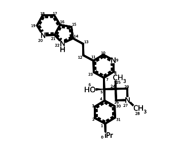 CC(C)c1ccc([C@](O)(c2cncc(CCc3cc4cccnc4[nH]3)c2)C2(C)CN(C)C2)cc1